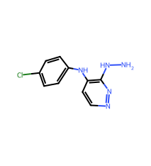 NNc1nnccc1Nc1ccc(Cl)cc1